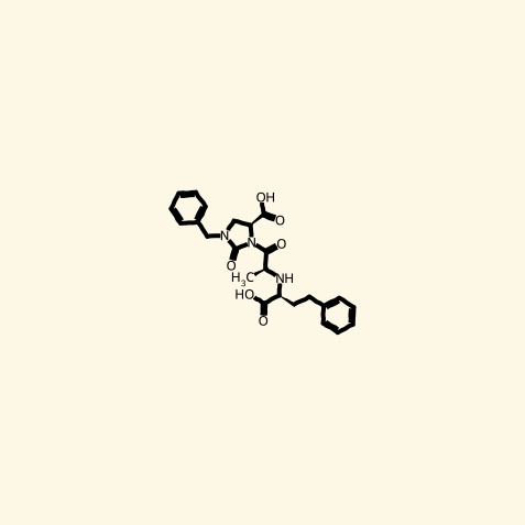 C[C@H](N[C@@H](CCc1ccccc1)C(=O)O)C(=O)N1C(=O)N(Cc2ccccc2)C[C@H]1C(=O)O